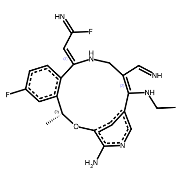 CCN/C1=C(\C=N)CN/C(=C\C(=N)F)c2ccc(F)cc2[C@@H](C)Oc2cc1cnc2N